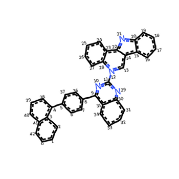 c1ccc2c(-c3ccc(-c4nc(-n5cc6c7ccccc7nc-6c6ccccc65)nc5ccccc45)cc3)cccc2c1